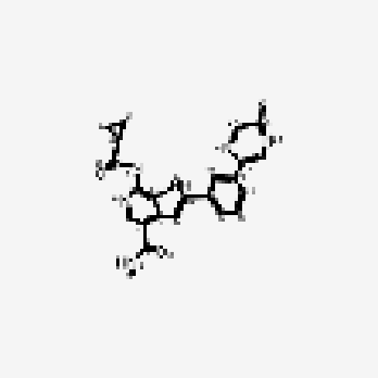 CNC(=O)c1cnc(NC(=O)C2CC2)c2[nH]c(-c3cccc(-c4cnc(C)cn4)c3)cc12